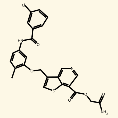 Cc1ccc(NC(=O)c2cccc(Cl)c2)cc1OCc1csc2c(C(=O)OCC(N)=O)cncc12